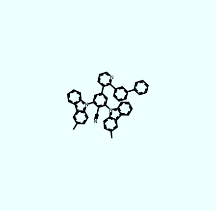 Cc1ccc2c(c1)c1ccccc1n2-c1cc(-c2cccnc2-c2cccc(-c3ccccc3)c2)cc(-n2c3ccccc3c3cc(C)ccc32)c1C#N